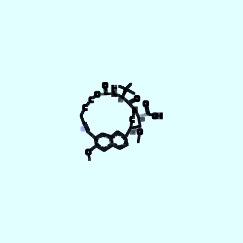 COc1cc2ccc3cc2cc1/C=C\CCCOC(=O)N[C@@H](C(C)(C)C)C(=O)N1C[C@@]3(OC)C[C@H]1C(=O)O